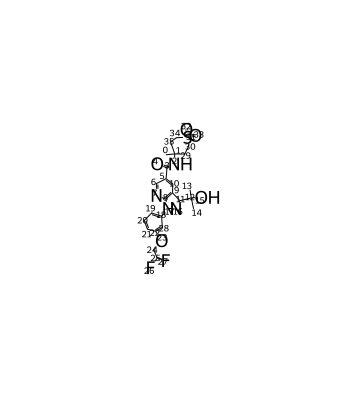 CC1(NC(=O)c2cnc3c(c2)c(C(C)(C)O)nn3-c2cccc(OCC(F)F)c2)CCS(=O)(=O)CC1